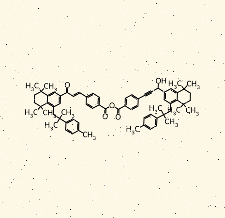 Cc1ccc(C(C)(C)Cc2cc(C(=O)C=Cc3ccc(C(=O)OC(=O)c4ccc(C#CC(O)c5cc(CC(C)(C)c6ccc(C)cc6)c6c(c5)C(C)(C)CCC6(C)C)cc4)cc3)cc3c2C(C)(C)CCC3(C)C)cc1